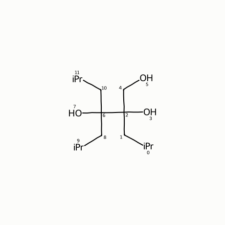 CC(C)CC(O)(CO)C(O)(CC(C)C)CC(C)C